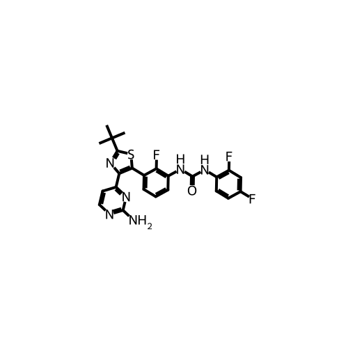 CC(C)(C)c1nc(-c2ccnc(N)n2)c(-c2cccc(NC(=O)Nc3ccc(F)cc3F)c2F)s1